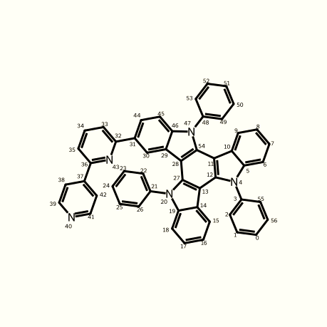 c1ccc(-n2c3ccccc3c3c2c2c4ccccc4n(-c4ccccc4)c2c2c4cc(-c5cccc(-c6ccncc6)n5)ccc4n(-c4ccccc4)c32)cc1